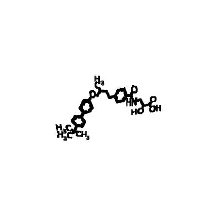 CC(CCc1ccc(C(=O)NCC(O)C(=O)O)cc1)COc1ccc(-c2ccc(C(C)(C)C)cc2)cc1